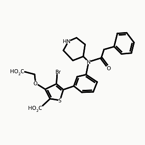 O=C(O)COc1c(C(=O)O)sc(-c2cccc(N(C(=O)Cc3ccccc3)C3CCNCC3)c2)c1Br